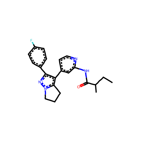 CCC(C)C(=O)Nc1cc(-c2c(-c3ccc(F)cc3)nn3c2CCC3)ccn1